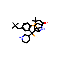 CC(C)(C)Cc1ccc(P2C(C)(C)CC(=O)CC2(C)C)c(C(P)(C2CCCNC2)C2CCCNC2)c1